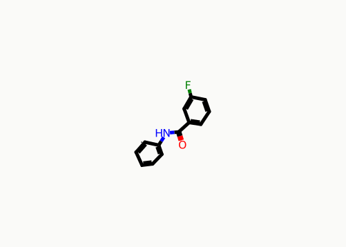 O=C(Nc1[c]cccc1)c1cccc(F)c1